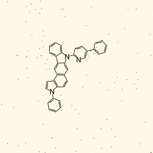 c1ccc(-c2ccc(-n3c4ccccc4c4cc5c(ccc6c5ccn6-c5ccccc5)cc43)nc2)cc1